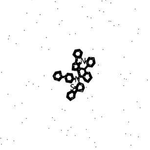 C1=C(N(c2ccc(-c3ccccc3)cc2)c2cccc3c2sc2ccccc23)c2ccccc2C(c2ccccc2-n2c3ccccc3c3ccccc32)C1